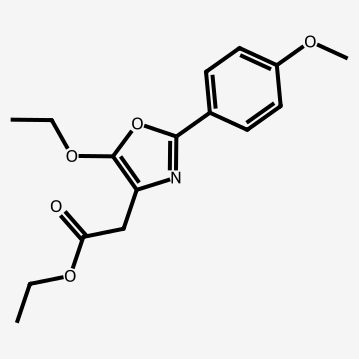 CCOC(=O)Cc1nc(-c2ccc(OC)cc2)oc1OCC